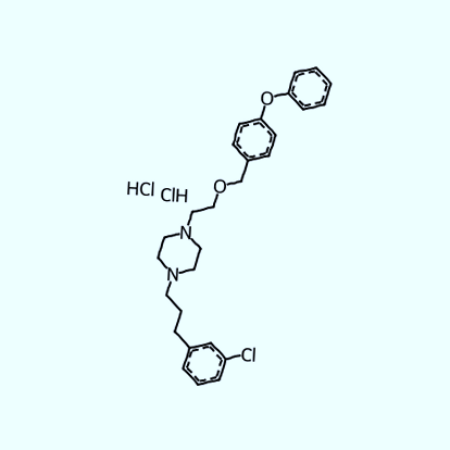 Cl.Cl.Clc1cccc(CCCN2CCN(CCOCc3ccc(Oc4ccccc4)cc3)CC2)c1